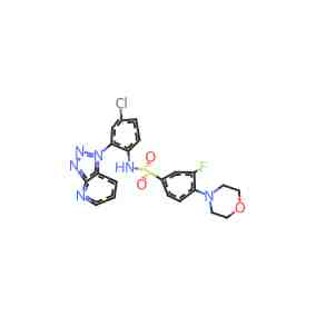 O=S(=O)(Nc1ccc(Cl)cc1-n1nnc2ncccc21)c1ccc(N2CCOCC2)c(F)c1